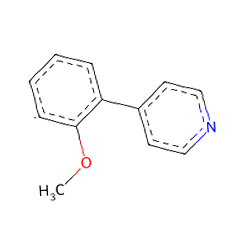 COc1[c]cccc1-c1ccncc1